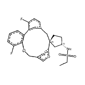 CCS(=O)(=O)N[C@H]1CC[C@@]2(Cc3ccc(F)c(c3)-c3cccc(F)c3OCc3coc2n3)C1